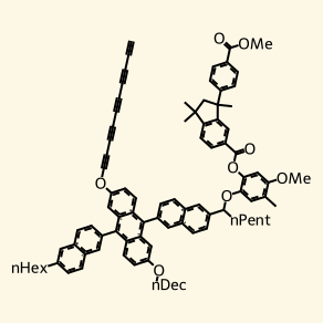 C#CC#CC#CC#CC#COc1ccc2c(-c3ccc4cc(C(CCCCC)Oc5cc(C)c(OC)cc5OC(=O)c5ccc6c(c5)C(C)(c5ccc(C(=O)OC)cc5)CC6(C)C)ccc4c3)c3cc(OCCCCCCCCCC)ccc3c(-c3ccc4cc(CCCCCC)ccc4c3)c2c1